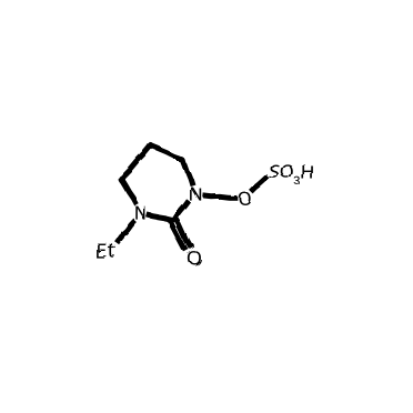 CCN1CCCN(OS(=O)(=O)O)C1=O